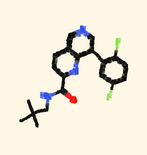 CC(C)(C)CNC(=O)c1ccc2cncc(-c3cc(F)ccc3F)c2n1